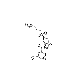 C[C@@H]1CN(S(=O)(=O)CCCN)C[C@@H]1NC(=O)c1cc(C2CC2)cnn1